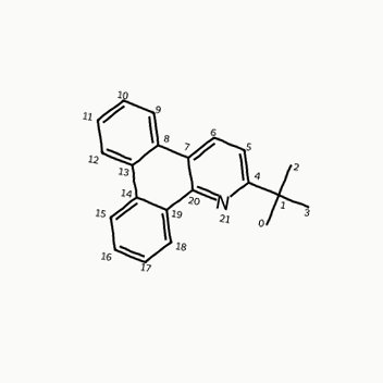 CC(C)(C)c1ccc2c3ccccc3c3ccccc3c2n1